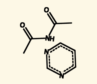 CC(=O)NC(C)=O.c1cncnc1